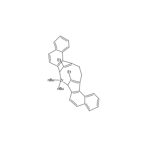 CCC[CH2][Zr]1([CH2]CCC)[CH]2C(CC)=C(CCC3=C(CC)[CH]1c1ccc4ccccc4c13)c1c2ccc2ccccc12